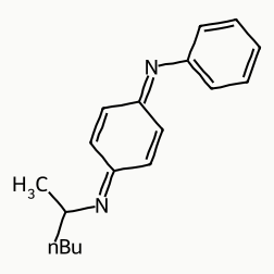 CCCCC(C)N=C1C=CC(=Nc2ccccc2)C=C1